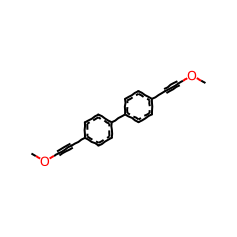 COC#Cc1ccc(-c2ccc(C#COC)cc2)cc1